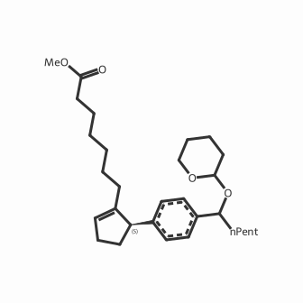 CCCCCC(OC1CCCCO1)c1ccc([C@H]2CCC=C2CCCCCCC(=O)OC)cc1